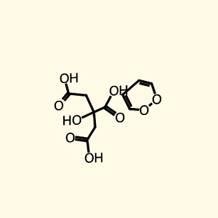 C1=COOC=C1.O=C(O)CC(O)(CC(=O)O)C(=O)O